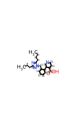 CCCCc1nc(CCC)nn1Cc1ccccc1-c1cnccc1C(=O)O